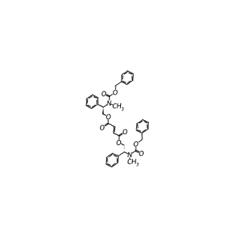 CN(C(=O)OCc1ccccc1)[C@@H](COC(=O)/C=C/C(=O)OC[C@@H](c1ccccc1)N(C)C(=O)OCc1ccccc1)c1ccccc1